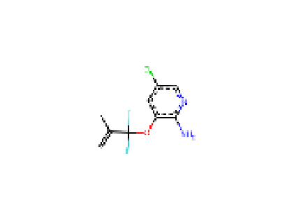 C=C(C)C(F)(F)Oc1cc(Cl)cnc1N